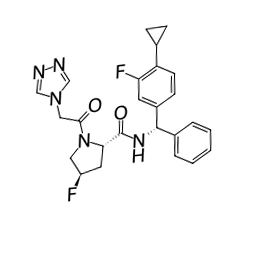 O=C(N[C@@H](c1ccccc1)c1ccc(C2CC2)c(F)c1)[C@@H]1C[C@@H](F)CN1C(=O)Cn1cnnc1